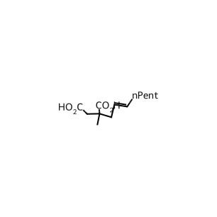 CCCCCC=CCC(C)(CC(=O)O)C(=O)O